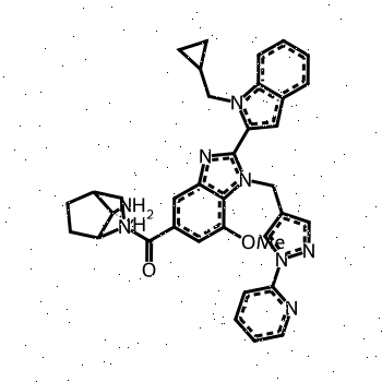 COc1cc(C(=O)N2CC3CCC2[C@@H]3N)cc2nc(-c3cc4ccccc4n3CC3CC3)n(Cc3cnn(-c4ccccn4)c3)c12